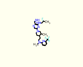 CC(F)CNc1nc(N2CCC(CCN(C)c3cccc(C(F)(F)F)n3)C(C)C2)cnc1C=N